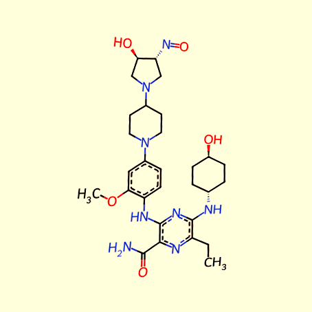 CCc1nc(C(N)=O)c(Nc2ccc(N3CCC(N4C[C@@H](O)[C@H](N=O)C4)CC3)cc2OC)nc1N[C@H]1CC[C@H](O)CC1